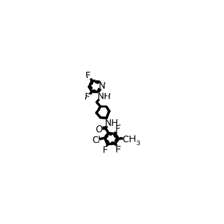 Cc1c(F)c(F)c(Cl)c(C(=O)NC2CCC(CNc3ncc(F)cc3F)CC2)c1F